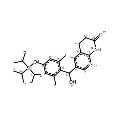 Cc1cc(O[Si](C(C)C)(C(C)C)C(C)C)cc(C)c1C(O)c1cnc2c(c1)CCC(=O)N2